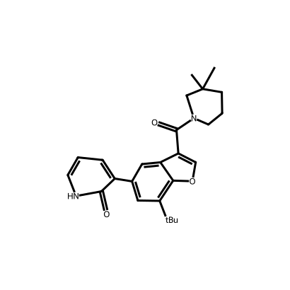 CC1(C)CCCN(C(=O)c2coc3c(C(C)(C)C)cc(-c4ccc[nH]c4=O)cc23)C1